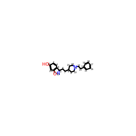 Oc1ccc2c(CCC3CCN(CCc4ccccc4)CC3)noc2c1